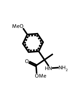 COC(=O)C(C)(NN)c1ccc(OC)cc1